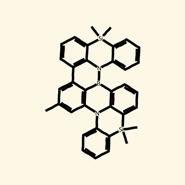 Cc1cc2c3c(c1)N1c4ccccc4[Si](C)(C)c4cccc(c41)B3N1c3ccccc3[Si](C)(C)c3cccc-2c31